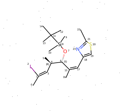 CC(I)=C[C@@H](C)[C@H](O[Si](C)(C)C(C)(C)C)C(C)=Cc1csc(C)n1